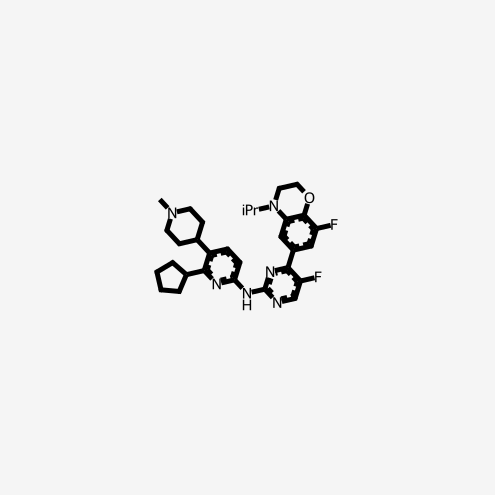 CC(C)N1CCOc2c(F)cc(-c3nc(Nc4ccc(C5CCN(C)CC5)c(C5CCCC5)n4)ncc3F)cc21